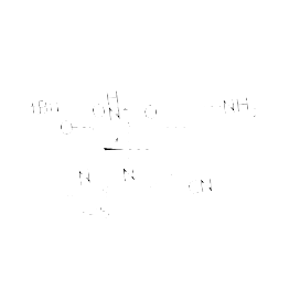 CC(C)(C)OC(=O)C[C@](CCCCN)(C(N)=O)N(CCC#N)c1nccs1